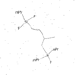 CCC[Si](F)(F)CCC(C)C[Si](F)(CCC)CCC